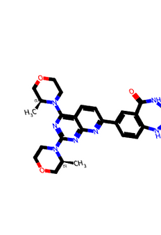 C[C@H]1COCCN1c1nc(N2CCOC[C@@H]2C)c2ccc(-c3ccc4c(c3)C(=O)NCCN4)nc2n1